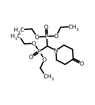 CCOP(=O)(OCC)C(N1CCC(=O)CC1)P(=O)(OCC)OCC